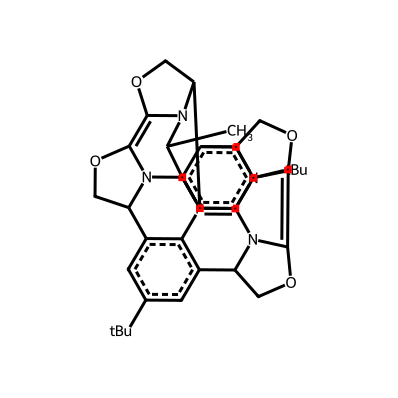 CC1C2N3C4=C5OCC(c6cc(C(C)(C)C)cc7c6P26=C2N8C(=C9OCC(c%10cc(C(C)(C)C)cc(c%106)C3CO4)N92)OCC78)N51